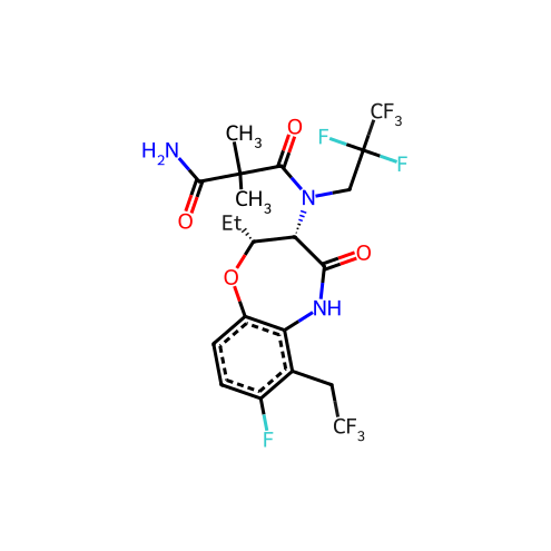 CC[C@H]1Oc2ccc(F)c(CC(F)(F)F)c2NC(=O)[C@H]1N(CC(F)(F)C(F)(F)F)C(=O)C(C)(C)C(N)=O